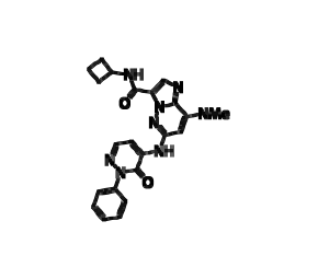 CNc1cc(Nc2ccnn(-c3ccccc3)c2=O)nn2c(C(=O)NC3CCC3)cnc12